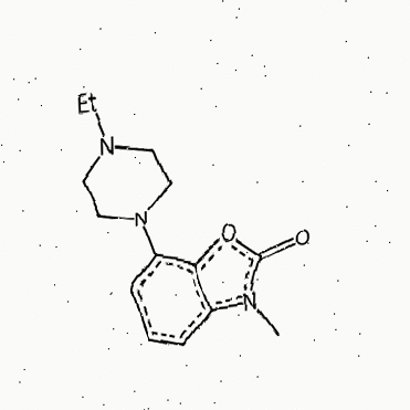 CCN1CCN(c2cccc3c2oc(=O)n3C)CC1